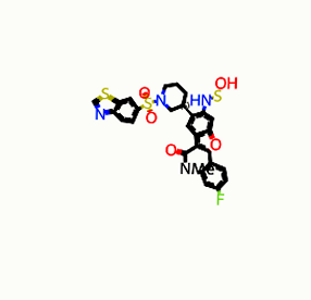 CNC(=O)c1c(-c2ccc(F)cc2)oc2cc(NSO)c([C@@H]3CCCN(S(=O)(=O)c4ccc5ncsc5c4)C3)cc12